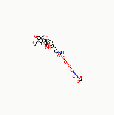 C[C@H]1C[C@@H]2C([C@@H](O)C[C@@]3(C)C2C[C@H]2O[C@@H](c4ccc(Cc5cccc(NC(=O)CCOCCOCCOCCOCCNC(=O)CCN6C(=O)C=CC6=O)c5)cc4)O[C@]23C(=O)CO)[C@@]2(C)C=CC(=O)C=C12